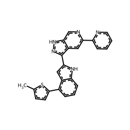 Cc1ccc(-c2cccc3[nH]c(-c4n[nH]c5cnc(-c6ccccn6)cc45)cc23)s1